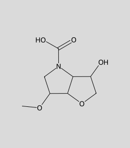 COC1CN(C(=O)O)C2C(O)COC12